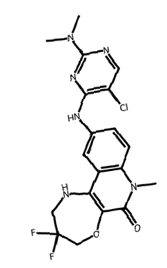 CN(C)c1ncc(Cl)c(Nc2ccc3c(c2)c2c(c(=O)n3C)OCC(F)(F)CN2)n1